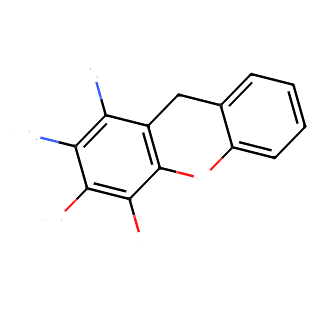 Nc1c(N)c2c(c(O)c1O)Oc1ccccc1C2